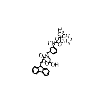 CC(C)(C)OC(=O)Nc1cccc(CN(CC(=O)O)C(=O)OCC2c3ccccc3-c3ccccc32)c1